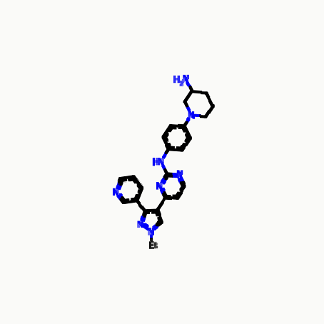 CCn1cc(-c2ccnc(Nc3ccc(N4CCCC(N)C4)cc3)n2)c(-c2cccnc2)n1